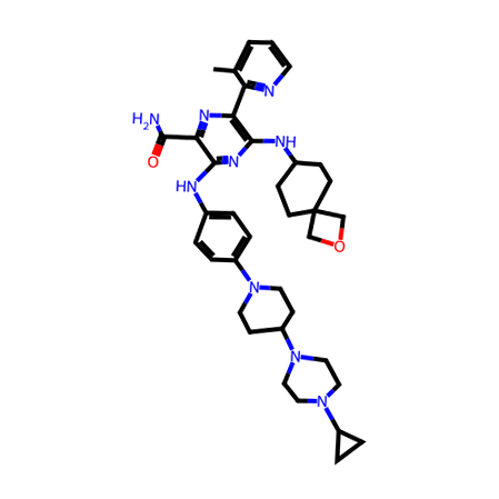 Cc1cccnc1-c1nc(C(N)=O)c(Nc2ccc(N3CCC(N4CCN(C5CC5)CC4)CC3)cc2)nc1NC1CCC2(CC1)COC2